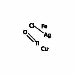 [Cl][Ag].[Cu].[Fe].[O]=[Ti]